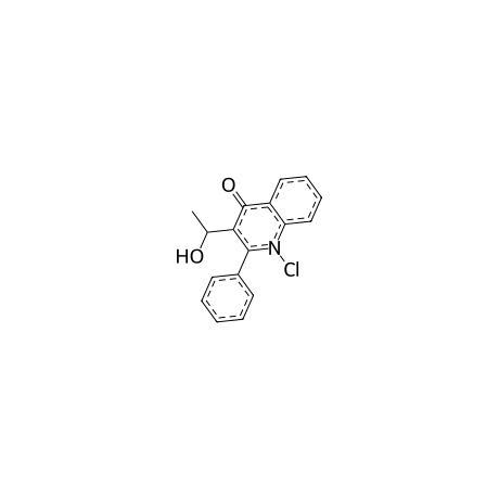 CC(O)c1c(-c2ccccc2)n(Cl)c2ccccc2c1=O